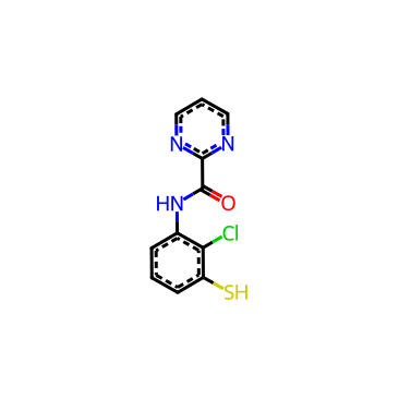 O=C(Nc1cccc(S)c1Cl)c1ncccn1